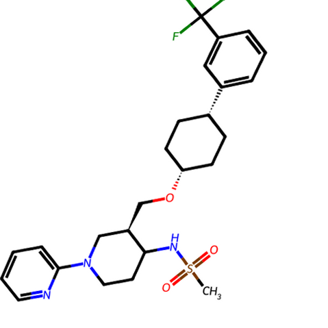 CS(=O)(=O)NC1CCN(c2ccccn2)C[C@H]1CO[C@H]1CC[C@@H](c2cccc(C(F)(F)F)c2)CC1